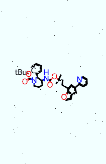 CC(C)(C)OC(=O)N1CCCC(NC(=O)OC(C)(C)CCc2cc(-c3ccccn3)cc3ccoc23)C1c1ccccc1